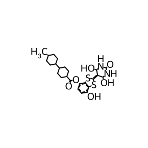 CC1CCC(C2CCC(C(=O)Oc3ccc(O)c4c3SC(=C3C(O)NC(=O)NC3O)S4)CC2)CC1